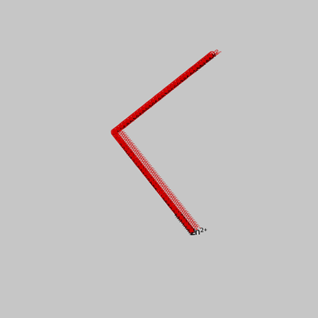 [O-2].[O-2].[O-2].[O-2].[O-2].[O-2].[O-2].[O-2].[O-2].[O-2].[O-2].[O-2].[O-2].[O-2].[O-2].[O-2].[O-2].[O-2].[O-2].[O-2].[O-2].[O-2].[O-2].[O-2].[O-2].[O-2].[O-2].[O-2].[O-2].[O-2].[O-2].[O-2].[O-2].[O-2].[O-2].[O-2].[O-2].[O-2].[O-2].[O-2].[O-2].[O-2].[O-2].[O-2].[O-2].[O-2].[O-2].[O-2].[O-2].[O-2].[O-2].[O-2].[O-2].[O-2].[O-2].[O-2].[O-2].[O-2].[O-2].[O-2].[O-2].[O-2].[O-2].[O-2].[O-2].[O-2].[O-2].[O-2].[O-2].[O-2].[O-2].[O-2].[O-2].[O-2].[O-2].[O-2].[O-2].[O-2].[O-2].[O-2].[O-2].[O-2].[O-2].[O-2].[O-2].[O-2].[O-2].[O-2].[O-2].[O-2].[O-2].[O-2].[O-2].[O-2].[O-2].[O-2].[O-2].[O-2].[O-2].[O-2].[O-2].[O-2].[O-2].[O-2].[O-2].[O-2].[O-2].[O-2].[O-2].[O-2].[O-2].[O-2].[O-2].[O-2].[O-2].[O-2].[O-2].[O-2].[O-2].[O-2].[O-2].[O-2].[O-2].[O-2].[O-2].[Zn+2]